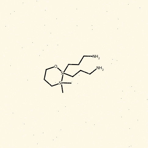 C[Si]1(C)CCCO[Si]1(CCCN)CCCN